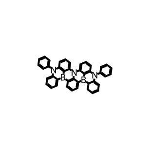 C1=CCC2B3c4cccc5c4N(c4cccc(c43)N(c3ccccc3)C2=C1)c1cccc2c1B5c1ccccc1N2c1ccccc1